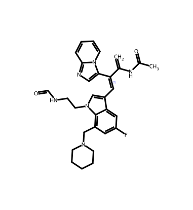 C=C(NC(C)=O)/C(=C/c1cn(CCNC=O)c2c(CN3CCCCC3)cc(F)cc12)c1cnc2ccccn12